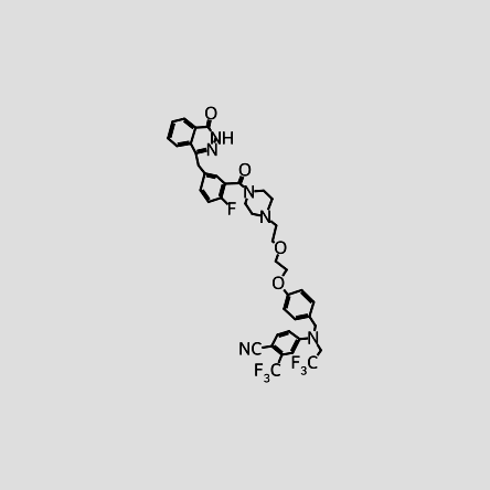 N#Cc1ccc(N(Cc2ccc(OCCOCCN3CCN(C(=O)c4cc(Cc5n[nH]c(=O)c6ccccc56)ccc4F)CC3)cc2)CC(F)(F)F)cc1C(F)(F)F